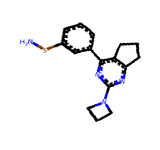 NSc1cccc(-c2nc(N3CCC3)nc3c2CCC3)c1